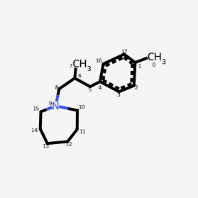 Cc1ccc(CC(C)CN2CCCCCC2)cc1